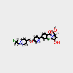 COC(=O)[C@]1(C)C[C@@H](O)CN1C(=O)c1ccc(-c2ccc(OCC3CCN(CC(C)(C)F)CC3)cn2)cc1F